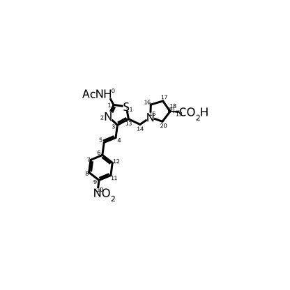 CC(=O)Nc1nc(C=Cc2ccc([N+](=O)[O-])cc2)c(CN2CC[C@@H](C(=O)O)C2)s1